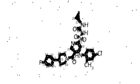 Cc1cc(Cl)ccc1Nc1cc(S(=O)(=O)NC(=O)NC2CC2)ncc1C(=O)N1CCC(c2ccc(F)cc2)CC1